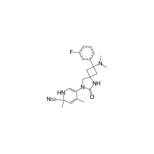 CC1=CC(C)(C#N)NC=C1N1CC2(CC(c3cccc(F)c3)(N(C)C)C2)NC1=O